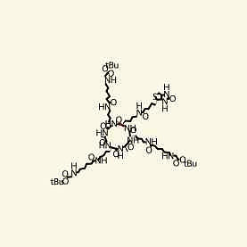 C[C@H]1NC(=O)[C@H](CCCCNC(=O)CCCCCNCC(=O)OC(C)(C)C)NC(=O)[C@@H](CCCCNC(=O)CCCC[C@@H]2SCC3NC(=O)NC32)NC(=O)[C@H](CCCCNC(=O)CCCCCNCC(=O)OC(C)(C)C)NC(=O)[C@@H](C)NC(=O)[C@H](CCCCNC(=O)CCCCCNCC(=O)OC(C)(C)C)NC1=O